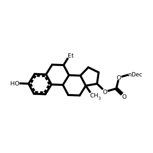 CCCCCCCCCCOC(=O)OC1CCC2C3C(CC)Cc4cc(O)ccc4C3CCC12C